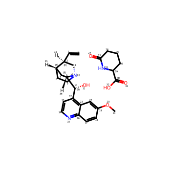 C=C[C@H]1C[N@]2CC[C@H]1C[C@H]2[C@H](O)c1ccnc2ccc(OC)cc12.O=C1CCCC(C(=O)O)N1